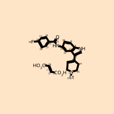 CCN1CC=C(c2c[nH]c3ccc(NC(=O)c4ccc(F)cc4)cc23)CC1.O=C(O)/C=C/C(=O)O